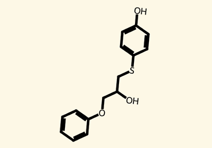 Oc1ccc(SCC(O)COc2ccccc2)cc1